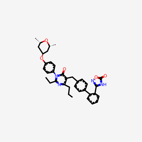 CCCc1nc(CC)n(-c2ccc(O[C@@H]3C[C@@H](C)O[C@@H](C)C3)cc2)c(=O)c1Cc1ccc(-c2ccccc2-c2noc(=O)[nH]2)cc1